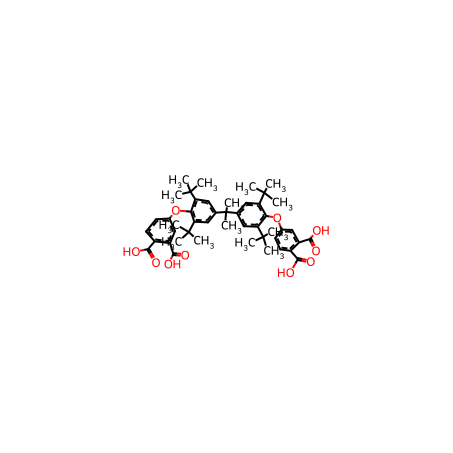 CC(C)(C)c1cc(C(C)(C)c2cc(C(C)(C)C)c(Oc3ccc(C(=O)O)c(C(=O)O)c3)c(C(C)(C)C)c2)cc(C(C)(C)C)c1Oc1ccc(C(=O)O)c(C(=O)O)c1